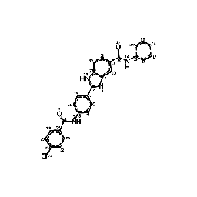 O=C(Nc1ccc(-c2nc3cc(C(=O)Nc4ccccc4)ccc3[nH]2)cc1)c1ccc(Cl)cc1